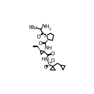 C=C[C@@H]1C[C@]1(NC(=O)[C@@H]1CCCN1C(=O)C(N)C(C)(C)C)C(=O)NS(=O)(=O)C1(CC2CC2)CC1